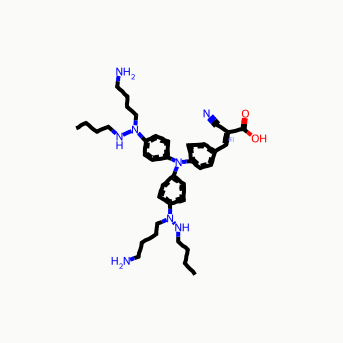 CCCCNN(CCCCN)c1ccc(N(c2ccc(/C=C(\C#N)C(=O)O)cc2)c2ccc(N(CCCCN)NCCCC)cc2)cc1